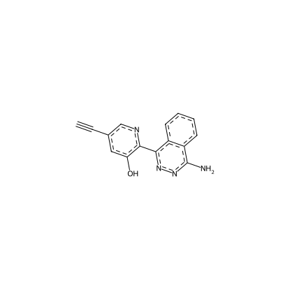 C#Cc1cnc(-c2nnc(N)c3ccccc23)c(O)c1